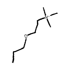 CCCOCC[N+](C)(C)C